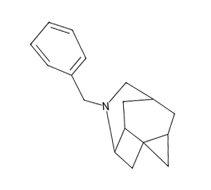 c1ccc(CN2CC3CC4CC45CC2C5C3)cc1